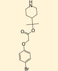 CC(C)(OC(=O)COc1ccc(Br)cc1)C1CCNCC1